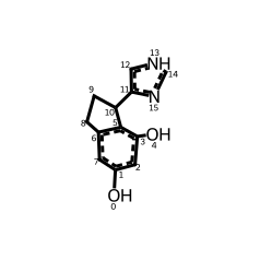 Oc1cc(O)c2c(c1)CCC2c1c[nH]cn1